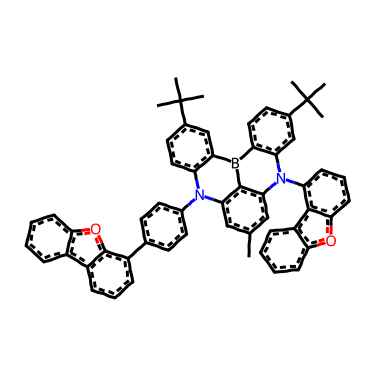 Cc1cc2c3c(c1)N(c1cccc4oc5ccccc5c14)c1cc(C(C)(C)C)ccc1B3c1cc(C(C)(C)C)ccc1N2c1ccc(-c2cccc3c2oc2ccccc23)cc1